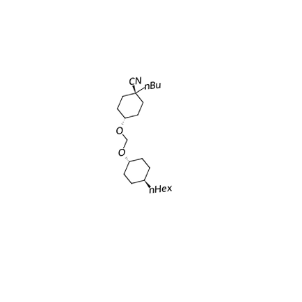 CCCCCC[C@H]1CC[C@H](OCO[C@H]2CC[C@@](C#N)(CCCC)CC2)CC1